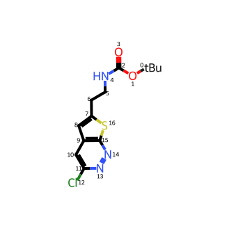 CC(C)(C)OC(=O)NCCc1cc2cc(Cl)nnc2s1